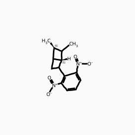 CC1[C@H](C)C2CC(c3c([N+](=O)[O-])cccc3[N+](=O)[O-])[C@@H]12